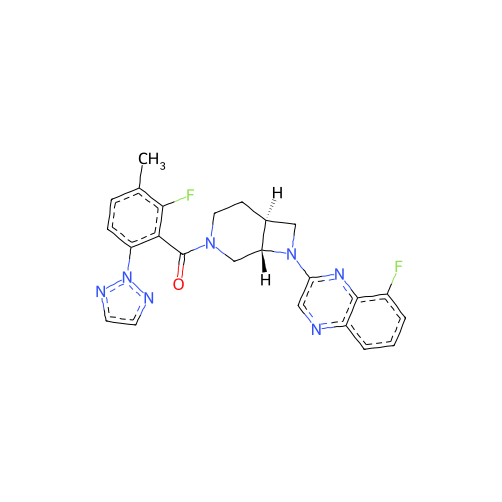 Cc1ccc(-n2nccn2)c(C(=O)N2CC[C@H]3CN(c4cnc5cccc(F)c5n4)[C@@H]3C2)c1F